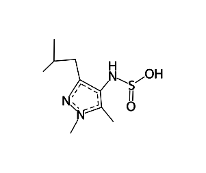 Cc1c(NS(=O)O)c(CC(C)C)nn1C